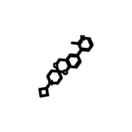 Cc1ncccc1-c1ccc2c(c1)COC1(CCN(C3CCC3)CC1)O2